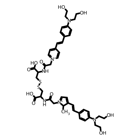 CC1C(/C=C/c2ccc(N(CCO)CCO)cc2)=CC=[N+]1CC(=O)NC(CSSCC(NC(=O)C[n+]1ccc(/C=C/c2ccc(N(CCO)CCO)cc2)cc1)C(=O)O)C(=O)O